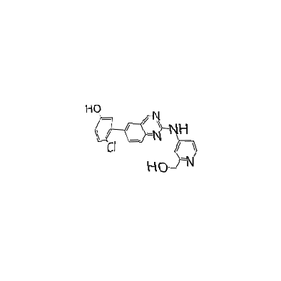 OCc1cc(Nc2ncc3cc(-c4cc(O)ccc4Cl)ccc3n2)ccn1